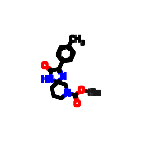 Cc1ccc(C2=NC3(CCCN(C(=O)OC(C)(C)C)C3)NC2=O)cc1